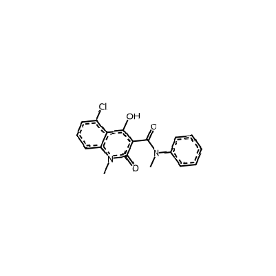 CN(C(=O)c1c(O)c2c(Cl)cccc2n(C)c1=O)c1ccccc1